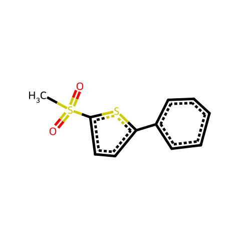 CS(=O)(=O)c1ccc(-c2ccccc2)s1